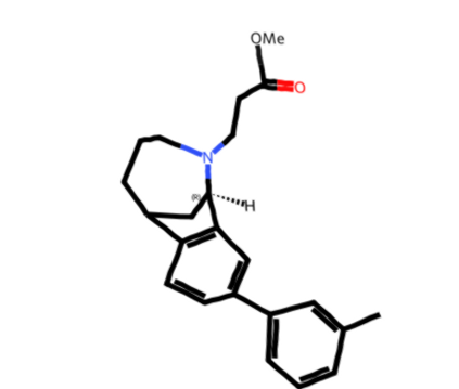 COC(=O)CCN1CCCC2C[C@@H]1c1cc(-c3cccc(C)c3)ccc12